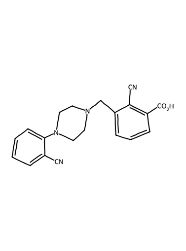 N#Cc1ccccc1N1CCN(Cc2cccc(C(=O)O)c2C#N)CC1